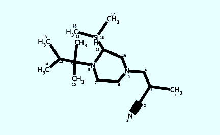 CC(C#N)CN1CCN(C(C)(C)C(C)C)C([SiH](C)C)C1